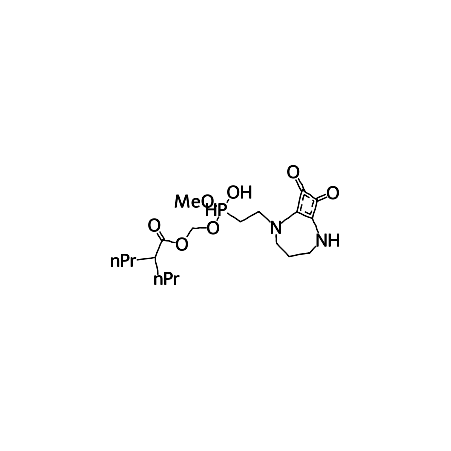 [CH2]O[PH](O)(CCN1CCCNc2c1c(=O)c2=O)OCOC(=O)C(CCC)CCC